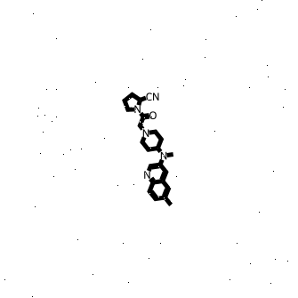 Cc1ccc2ncc(N(C)C3CCN(CC(=O)N4CCCC4C#N)CC3)cc2c1